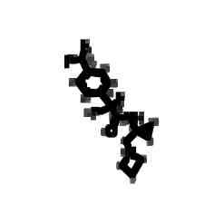 O=C(NC1(CN2CCC2)CC1)C(F)(F)c1ccc(C(F)F)cc1